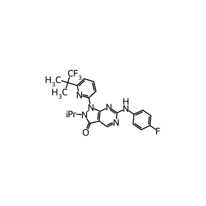 CC(C)n1c(=O)c2cnc(Nc3ccc(F)cc3)nc2n1-c1cccc(C(C)(C)C(F)(F)F)n1